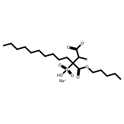 CCCCCCCCCCC(C(=O)OCCCCC)(C(I)C(=O)[O-])S(=O)(=O)O.[Na+]